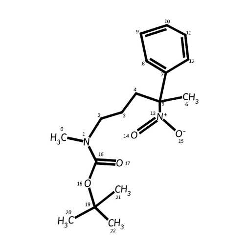 CN(CCCC(C)(c1ccccc1)[N+](=O)[O-])C(=O)OC(C)(C)C